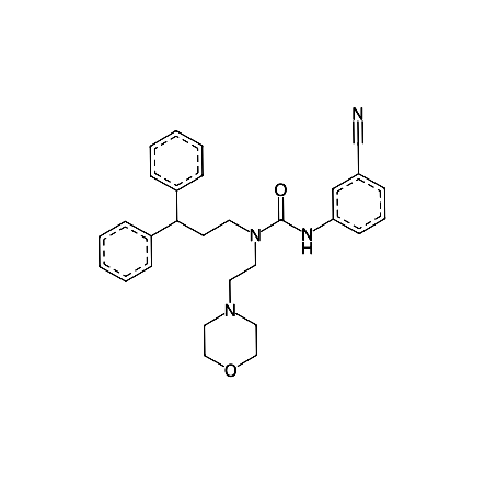 N#Cc1cccc(NC(=O)N(CCC(c2ccccc2)c2ccccc2)CCN2CCOCC2)c1